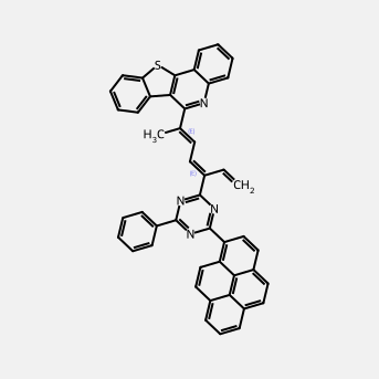 C=C/C(=C\C=C(/C)c1nc2ccccc2c2sc3ccccc3c12)c1nc(-c2ccccc2)nc(-c2ccc3ccc4cccc5ccc2c3c45)n1